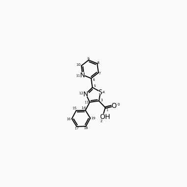 O=C(O)c1sc(-c2ccccn2)nc1-c1ccccc1